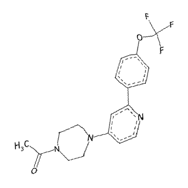 CC(=O)N1CCN(c2ccnc(-c3ccc(OC(F)(F)F)cc3)c2)CC1